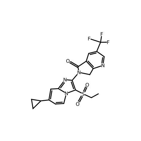 CCS(=O)(=O)c1c(N2Cc3ncc(C(F)(F)F)cc3C2=O)nc2cc(C3CC3)ccn12